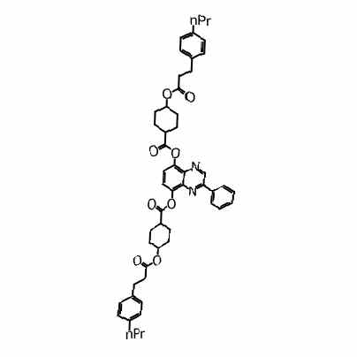 CCCc1ccc(CCC(=O)OC2CCC(C(=O)Oc3ccc(OC(=O)C4CCC(OC(=O)CCc5ccc(CCC)cc5)CC4)c4nc(-c5ccccc5)cnc34)CC2)cc1